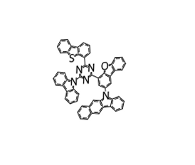 c1ccc2cc3c(cc2c1)c1ccccc1n3-c1cc(-c2nc(-c3cccc4c3sc3ccccc34)nc(-n3c4ccccc4c4ccccc43)n2)c2oc3ccccc3c2c1